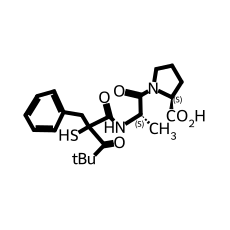 C[C@H](NC(=O)C(S)(Cc1ccccc1)C(=O)C(C)(C)C)C(=O)N1CCC[C@H]1C(=O)O